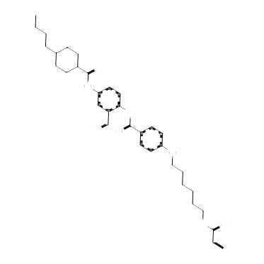 C=CC(=O)OCCCCCCOc1ccc(C(=O)Oc2ccc(OC(=O)C3CCC(CCCC)CC3)cc2C=O)cc1